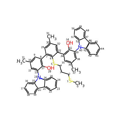 CSCCCSc1c(-c2cc(C)cc(-n3c4ccccc4c4ccccc43)c2O)cc(C)cc1-c1cc(C)cc(-n2c3ccccc3c3ccccc32)c1O